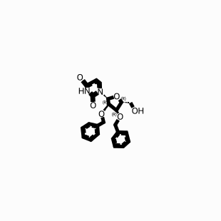 O=c1ccn([C@@H]2O[C@H](CO)[C@@H](OCc3ccccc3)[C@H]2OCc2ccccc2)c(=O)[nH]1